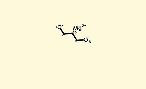 [Mg+2].[O-]CCC[O-]